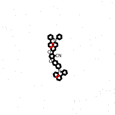 N#Cc1c2c(cc3oc4cc5cc(N(c6ccccc6)c6ccccc6-c6ccccc6)ccc5cc4c13)oc1cc3cc(N(c4ccccc4)c4ccccc4-c4ccccc4)ccc3cc12